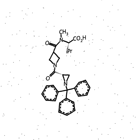 CC(C)[C@@H](C(=O)O)N(C)C(=O)C1CN(C(=O)[C@@H]2CN2C(c2ccccc2)(c2ccccc2)c2ccccc2)C1